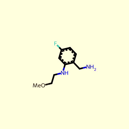 COCCNc1cc(F)ccc1CN